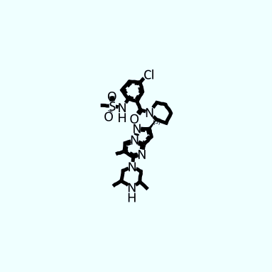 Cc1cn2nc([C@@H]3CCCCN3C(=O)c3cc(Cl)ccc3NS(C)(=O)=O)cc2nc1N1CC(C)NC(C)C1